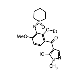 CCOc1c(C(=O)c2cnn(C)c2O)ccc(OC)c1N=S1(=O)CCCCC1